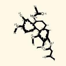 COc1c(OC(=O)CC(C)=O)cc2c(c1OC)-c1ccc(SC)c(=O)cc1[C@@H](NC(C)=O)CC2